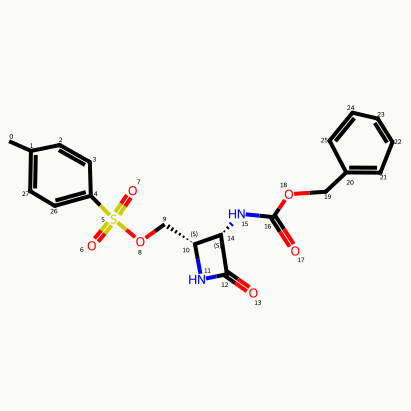 Cc1ccc(S(=O)(=O)OC[C@H]2NC(=O)[C@H]2NC(=O)OCc2ccccc2)cc1